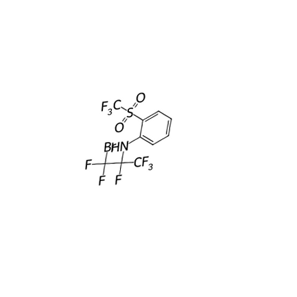 O=S(=O)(c1ccccc1NC(F)(C(F)(F)F)C(F)(F)Br)C(F)(F)F